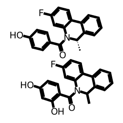 CC1c2ccccc2-c2ccc(F)cc2N1C(=O)c1ccc(O)cc1O.C[C@H]1c2ccccc2-c2ccc(F)cc2N1C(=O)c1ccc(O)cc1